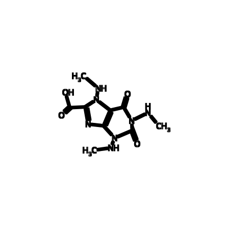 CNn1c(=O)c2c(nc(C(=O)O)n2NC)n(NC)c1=O